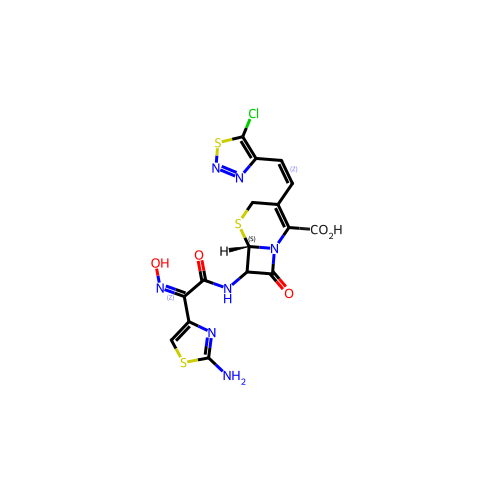 Nc1nc(/C(=N/O)C(=O)NC2C(=O)N3C(C(=O)O)=C(/C=C\c4nnsc4Cl)CS[C@@H]23)cs1